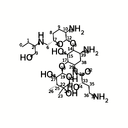 CCC(CO)NC[C@@H]1CCC(N)[C@@H](OC2C(O)C(O[C@H]3OCC(C)(O)[C@H](C)C3O)[C@H](NC(=O)[C@@H](O)CCN)C[C@@H]2N)O1